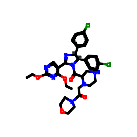 CCOc1ncc(C2=N[C@@H](c3ccc(Cl)cc3)[C@@H](c3ccc(Cl)cc3)N2C(=O)C2CNCCN2CC(=O)N2CCOCC2)c(OCC)n1